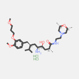 COCCCOc1cc(C[C@@H](C[C@H](N)[C@@H](O)C[C@@H](C)C(=O)NCCN2C[C@@H](C)O[C@@H](C)C2)C(C)C)ccc1OC.Cl.Cl